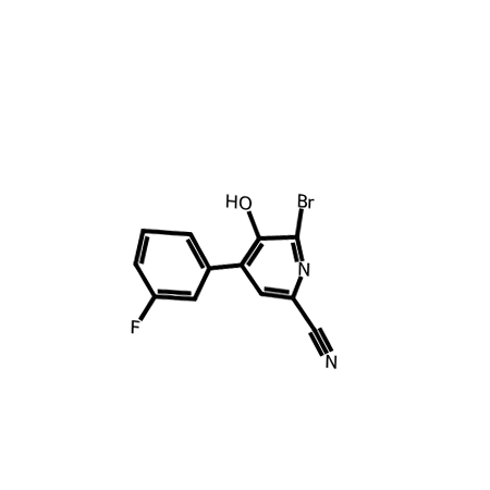 N#Cc1cc(-c2cccc(F)c2)c(O)c(Br)n1